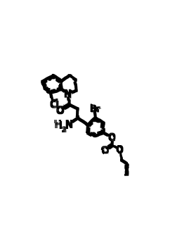 C=CCOC(=O)Oc1ccc(C(N)CC(=O)N2CCCc3cccc(Cl)c32)c(Br)c1